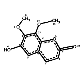 COc1c(O)cc2ccc(=O)oc2c1OC